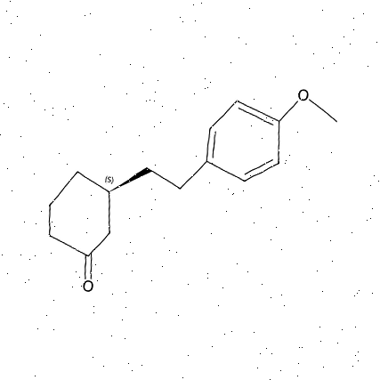 COc1ccc(CC[C@@H]2CCCC(=O)C2)cc1